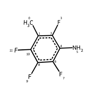 Cc1c(F)c(N)c(F)c(F)c1F